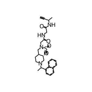 C#CC(C)NC(=O)CNC(=O)CN(CC1CCN(C(C)c2cccc3ccccc23)CC1)[SH](=O)=O